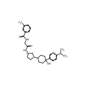 CN(C)c1ccc(C2(O)CCC(N3CC[C@@H](NC(=O)CNC(=O)c4cccc(C(F)(F)F)c4)C3)CC2)cn1